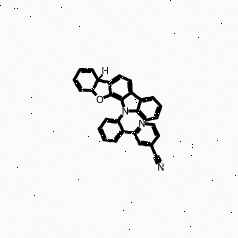 N#Cc1ccnc(-c2ccccc2-n2c3ccccc3c3ccc4c(c32)OC2C=CC=C[C@H]42)c1